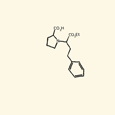 CCOC(=O)C(CCc1ccccc1)N1CCCC1C(=O)O